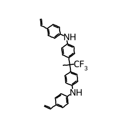 C=Cc1ccc(Nc2ccc(C(C)(c3ccc(Nc4ccc(C=C)cc4)cc3)C(F)(F)F)cc2)cc1